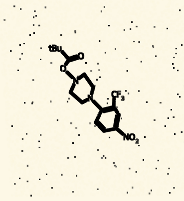 CC(C)(C)C(=O)ON1CCN(c2ccc([N+](=O)[O-])cc2C(F)(F)F)CC1